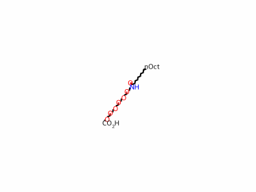 CCCCCCCCC=CCCCCCCCC(=O)NCCOCCOCCOCCOCCOCCOCC(=O)O